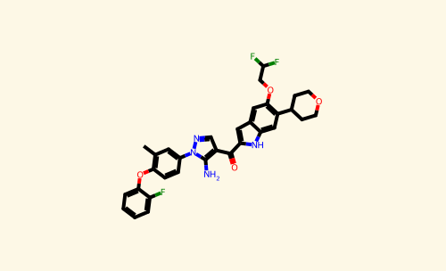 Cc1cc(-n2ncc(C(=O)c3cc4cc(OCC(F)F)c(C5CCOCC5)cc4[nH]3)c2N)ccc1Oc1ccccc1F